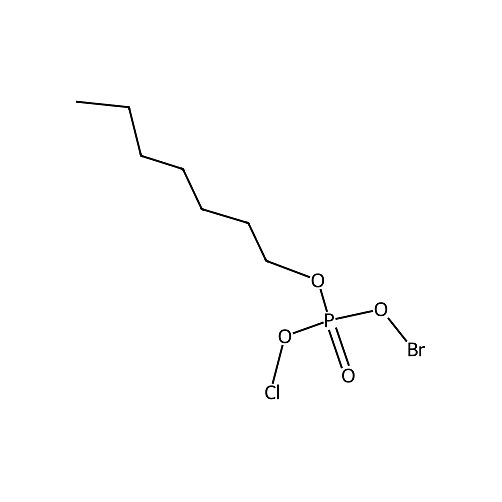 CCCCCCCOP(=O)(OCl)OBr